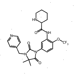 CC1(C)C(=O)N(c2ccc(OC(F)(F)F)c(NC(=O)C3CCCCN3)c2)C(=O)N1Cc1ccncc1